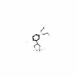 Cc1ccc(N(CCCl)CCCl)cc1C(CN)C[PH](=O)O